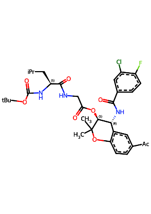 CC(=O)c1ccc2c(c1)[C@@H](NC(=O)c1ccc(F)c(Cl)c1)[C@H](OC(=O)CNC(=O)[C@H](CC(C)C)NC(=O)OC(C)(C)C)C(C)(C)O2